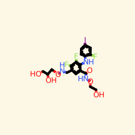 O=C(NOCCO)c1cc(CNOCC(O)CO)c(F)c(F)c1Nc1ccc(I)cc1F